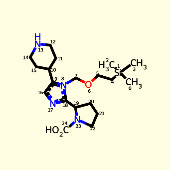 C[Si](C)(C)CCOCn1c(C2CCNCC2)cnc1C1CCCN1C(=O)O